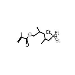 C=C(C)C(=O)OCC(C)CC(C)C[PH](CC)(CC)CC